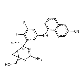 N#Cc1cnc2c(Nc3cc(F)c(F)c([C@@]4(CF)N=C(N)S[C@]5(CO)CC54)c3)nccc2c1